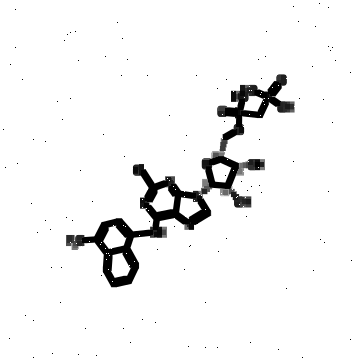 O=P(O)(O)CP(=O)(O)OC[C@H]1O[C@@H](n2cnc3c(Nc4ccc(C(F)(F)F)c5ccccc45)nc(Cl)nc32)[C@@H](O)[C@H]1O